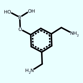 NCc1cc(CN)cc(OB(O)O)c1